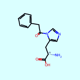 N[C@@H](Cc1cncn1C(=O)Cc1ccccc1)C(=O)O